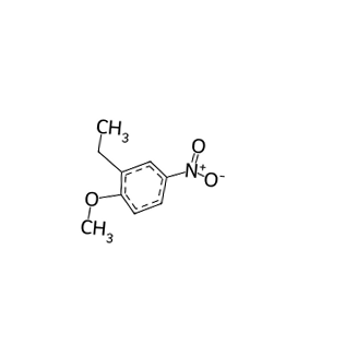 CCc1cc([N+](=O)[O-])ccc1OC